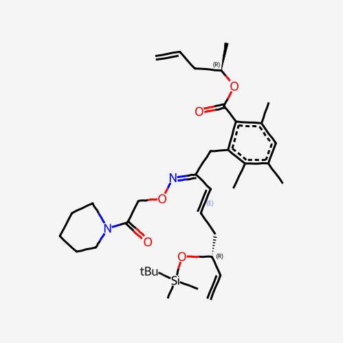 C=CC[C@@H](C)OC(=O)c1c(C)cc(C)c(C)c1CC(/C=C/C[C@H](C=C)O[Si](C)(C)C(C)(C)C)=NOCC(=O)N1CCCCC1